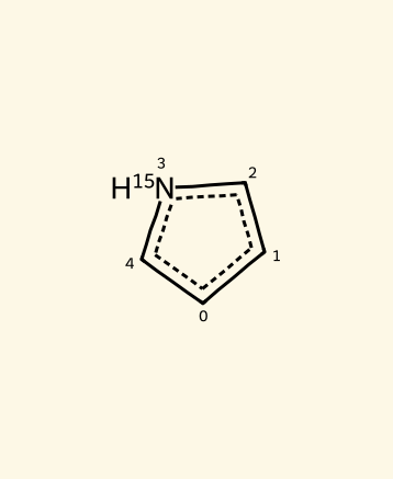 c1cc[15nH]c1